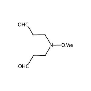 CON(CCC=O)CCC=O